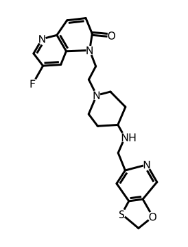 O=c1ccc2ncc(F)cc2n1CCN1CCC(NCc2cc3c(cn2)OCS3)CC1